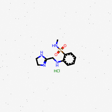 CNS(=O)(=O)c1ccccc1NCC1=NCCN1.Cl